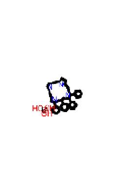 C1=CC2=NC1=CC1=NC(=C(c3ccccc3)C3=NC(=CC4=NC(=C2)C=C4)C=C3c2ccccc2)C(c2ccccc2)=C1c1ccccc1.OB(O)O